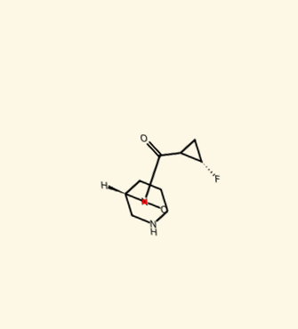 O=C(C1C[C@@H]1F)N1CC2CC[C@@H](CN2)C1